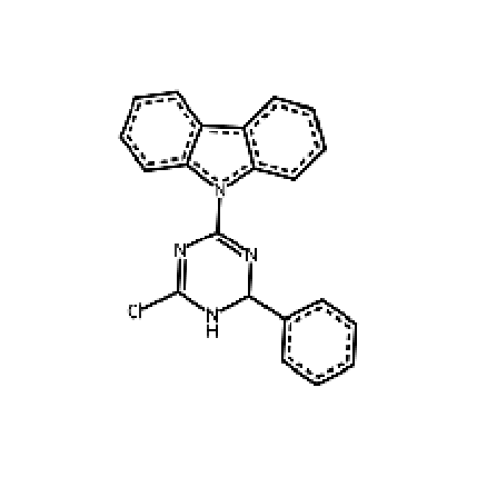 ClC1=NC(n2c3ccccc3c3ccccc32)=NC(c2ccccc2)N1